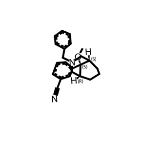 CO[C@]1(c2cccc(C#N)c2)[C@@H]2CCC[C@H]1CN(Cc1ccccc1)C2